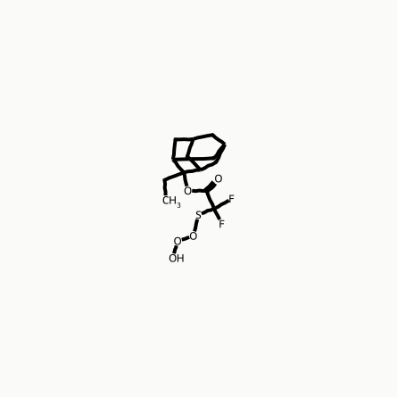 CCC1(OC(=O)C(F)(F)SOOO)C2CC3CC(C2)CC1C3